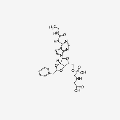 CCNC(=O)Nc1ncnc2c1ncn2[C@@H]1O[C@H](COP(=O)(O)CNCC(=O)O)C2OC(Cc3ccccc3)O[C@@H]21